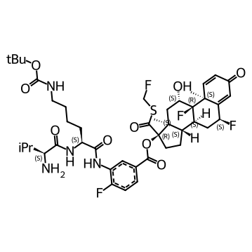 CC(C)[C@H](N)C(=O)N[C@@H](CCCCNC(=O)OC(C)(C)C)C(=O)Nc1cc(C(=O)O[C@]2(C(=O)SCF)CC[C@H]3[C@@H]4C[C@H](F)C5=CC(=O)C=C[C@]5(C)[C@@]4(F)[C@@H](O)C[C@@]32C)ccc1F